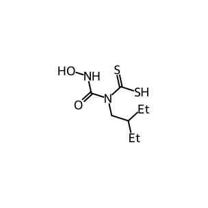 CCC(CC)CN(C(=O)NO)C(=S)S